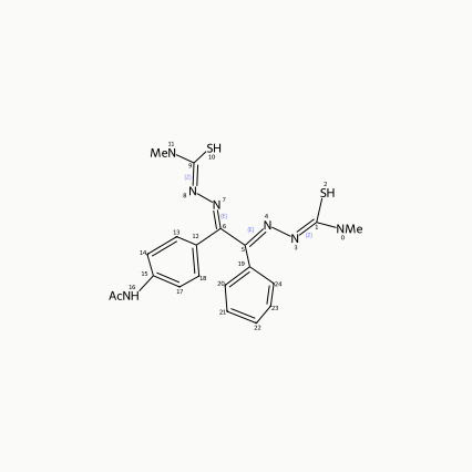 CN/C(S)=N/N=C(/C(=N/N=C(\S)NC)c1ccc(NC(C)=O)cc1)c1ccccc1